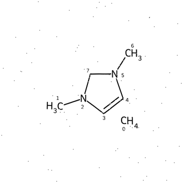 C.CN1C=CN(C)C1